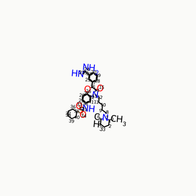 C[C@@H]1CCC[C@H](C)N1CCCCCN1C(=O)C(c2cccc(C(=N)N)c2)Oc2ccc(NS(=O)(=O)C3CCCCC3)cc21